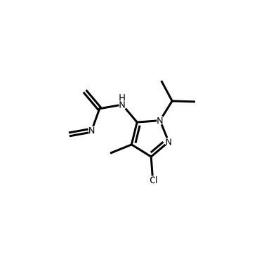 C=NC(=C)Nc1c(C)c(Cl)nn1C(C)C